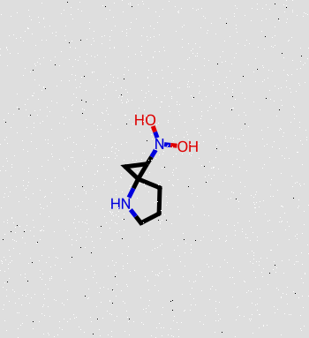 ON(O)C1CC12CCCN2